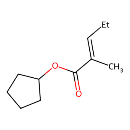 CCC=C(C)C(=O)OC1CCCC1